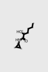 CCCCC(O)C(=O)NC1CC1